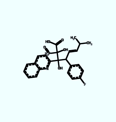 CC(C)C=CC(c1ccc(F)cc1)C(O)(c1ccc2ccccc2n1)C(O)([PH2]=O)C(=O)O